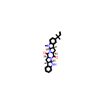 C=CC(C)(C)c1ccc2c(c1)[C@]1(C)C[C@H]3C(=O)N4[C@@H](C[C@@]5(C)c6ccccc6N[C@@H]45)C(=O)N3[C@@H]1N2C